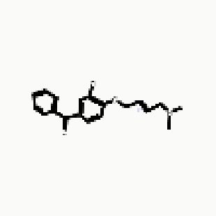 CN(C)C/C=C/COc1ccc(C(=O)c2ccccc2)cc1Cl